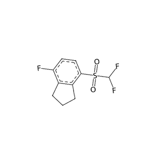 O=S(=O)(c1ccc(F)c2c1CCC2)C(F)F